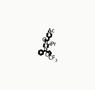 CC(=O)N1CCC(CC(=O)N2CCN(C(c3ccccc3)c3ccc(C(F)(F)F)o3)C[C@@H]2C(C)C)CC1